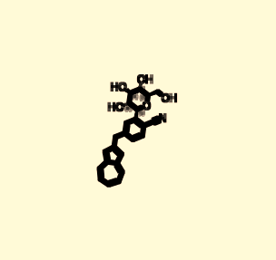 N#Cc1ccc(Cc2cc3cccccc-3c2)cc1[C@@H]1O[C@H](CO)[C@@H](O)[C@H](O)[C@H]1O